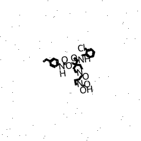 CCc1ccc(NC(=O)OCC2(C(=O)NCc3ccccc3Cl)CCN(C(=O)C3CCN3C(=O)O)CC2)cc1